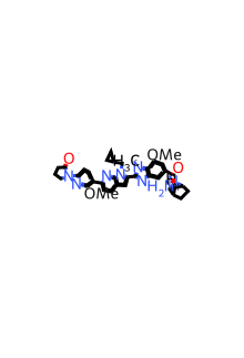 COc1nc(N2CCCC2=O)ccc1-c1ccc2cc(-c3nc4cc(C(=O)N5CC6CCC5[C@@H]6N)cc(OC)c4n3C)n(CC3CC3)c2n1